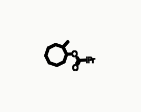 CC(C)C(=O)OC1CCCCCCC1C